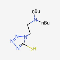 CCCCN(CCCC)CCn1nnnc1S